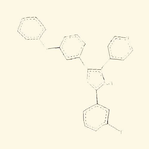 Fc1cccc(-c2nc(-c3cccc(Oc4ccccc4)c3)c(-c3ccncc3)[nH]2)c1